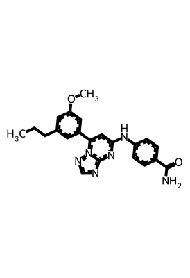 CCCc1cc(OC)cc(-c2cc(Nc3ccc(C(N)=O)cc3)nc3ncnn23)c1